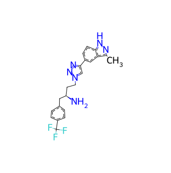 Cc1n[nH]c2ccc(-c3cn(CC[C@@H](N)Cc4ccc(C(F)(F)F)cc4)nn3)cc12